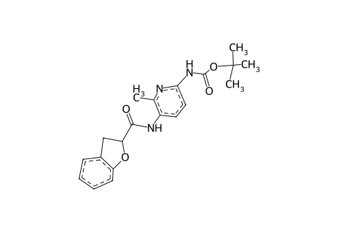 Cc1nc(NC(=O)OC(C)(C)C)ccc1NC(=O)C1Cc2ccccc2O1